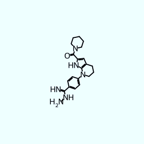 N=C(NN)c1ccc(N2CCCc3cc(C(=O)N4CCCCC4)[nH]c32)cc1